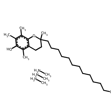 CCCCCCCCCCCCCC1(C)CCc2c(C)c(O)c(C)c(C)c2O1.CN.CN.CN